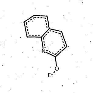 CCOc1[c]cc2ccccc2n1